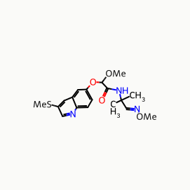 CO/N=C/C(C)(C)NC(=O)C(OC)Oc1ccc2ncc(SC)cc2c1